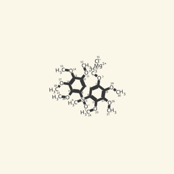 COc1cc([Si](C)([O-])c2cc(OC)c(OC)c(OC)c2OC)c(OC)c(OC)c1OC.[Cl-].[Mg+2]